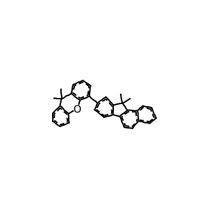 CC1(C)c2ccccc2Oc2c(-c3ccc4c(c3)C(C)(C)c3c-4ccc4ccccc34)cccc21